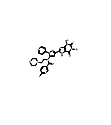 CCCn1c(=O)c2[nH]c(-c3cc(N(CCN4CCOCC4)C(=O)c4ccc(F)nc4)n(-c4ccncc4)n3)nc2n(CCC)c1=O